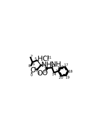 COC(=O)[C@@H](CC(C)C)NC(=O)[C@H](N)Cc1ccccc1.Cl